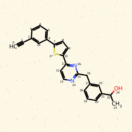 C#Cc1cccc(-c2ccc(-c3ccnc(Cc4cccc(C(C)O)c4)n3)s2)c1